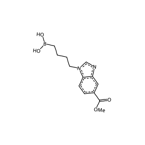 COC(=O)c1ccc2c(c1)ncn2CCCCB(O)O